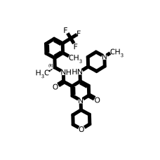 Cc1c([C@@H](C)NC(=O)c2cn(C3CCOCC3)c(=O)cc2NC2CCN(C)CC2)cccc1C(F)(F)F